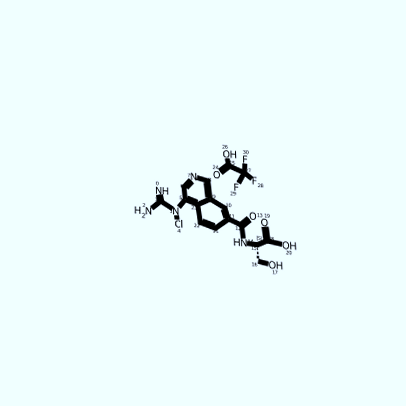 N=C(N)N(Cl)c1cncc2cc(C(=O)N[C@@H](CO)C(=O)O)ccc12.O=C(O)C(F)(F)F